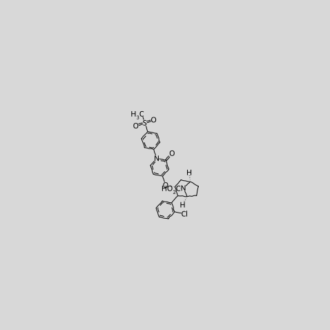 CS(=O)(=O)c1ccc(-n2ccc(O[C@@H]3C[C@H]4CC[C@@H](C3c3ccccc3Cl)N4C(=O)O)cc2=O)cc1